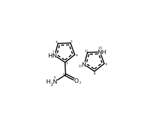 NC(=O)c1ccc[nH]1.c1c[nH]cn1